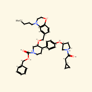 COCCCN1CCOc2ccc(COC3CN(C(=O)OCc4ccccc4)CCC3c3ccc(OC4CCN(C(=O)CC5CC5)C4)cc3)cc21